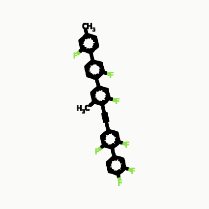 Cc1ccc(-c2ccc(-c3cc(C)c(C#Cc4cc(F)c(-c5ccc(F)c(F)c5)c(F)c4)c(F)c3)c(F)c2)c(F)c1